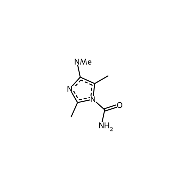 CNc1nc(C)n(C(N)=O)c1C